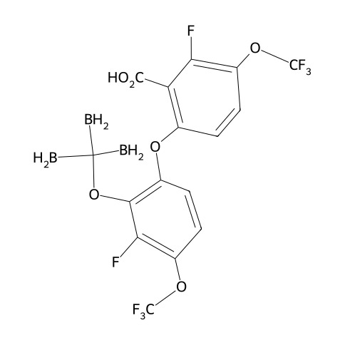 BC(B)(B)Oc1c(Oc2ccc(OC(F)(F)F)c(F)c2C(=O)O)ccc(OC(F)(F)F)c1F